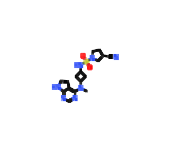 CN(c1ncnc2[nH]ccc12)C1CC(NS(=O)(=O)N2CCC(C#N)C2)C1